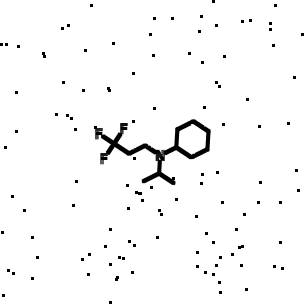 CC(C)N(CCC(F)(F)F)C1CCCCC1